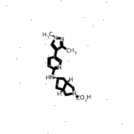 Cc1nn(C)cc1-c1ccc(N[C@H]2C[C@@H]3CN(C(=O)O)C[C@@H]3C2)nc1